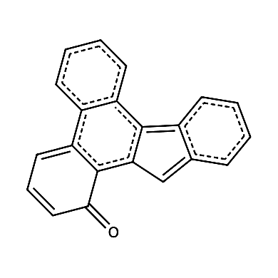 O=C1C=CC=c2c1c1c(c3ccccc23)=c2ccccc2=C1